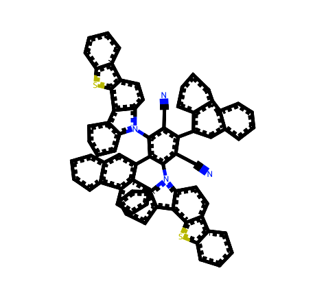 N#Cc1c(-c2cc3ccccc3c3ccccc23)c(C#N)c(-n2c3ccccc3c3c4sc5ccccc5c4ccc32)c(-c2cc3ccccc3c3ccccc23)c1-n1c2ccccc2c2c3sc4ccccc4c3ccc21